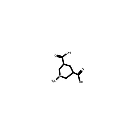 CN1CC(C(=O)O)CC(C(=O)O)C1